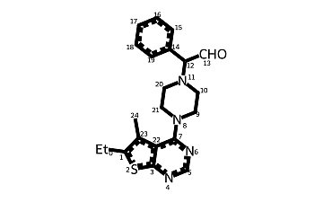 CCc1sc2ncnc(N3CCN(C(C=O)c4ccccc4)CC3)c2c1C